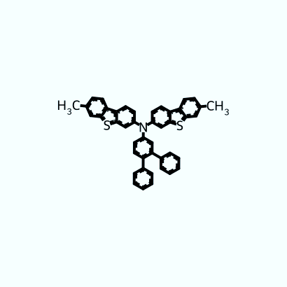 Cc1ccc2c(c1)sc1cc(N(c3ccc(-c4ccccc4)c(-c4ccccc4)c3)c3ccc4c(c3)sc3cc(C)ccc34)ccc12